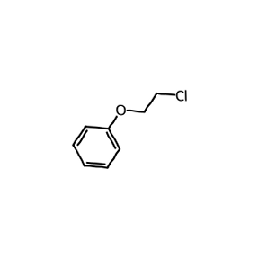 ClCCOc1ccccc1